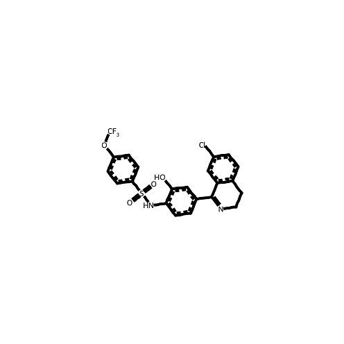 O=S(=O)(Nc1ccc(C2=NCCc3ccc(Cl)cc32)cc1O)c1ccc(OC(F)(F)F)cc1